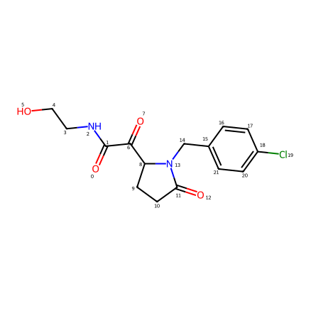 O=C(NCCO)C(=O)C1CCC(=O)N1Cc1ccc(Cl)cc1